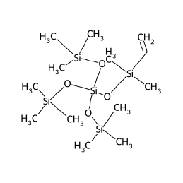 C=C[Si](C)(C)O[Si](O[Si](C)(C)C)(O[Si](C)(C)C)O[Si](C)(C)C